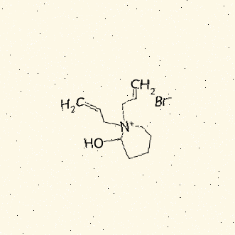 C=CC[N+]1(CC=C)CCCCC1O.[Br-]